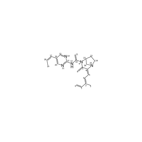 C=C/C(C)=C/C=C1\C(=C)N(C(=C)Nc2ncc(/C=C\C)cn2)C2CCN1C2